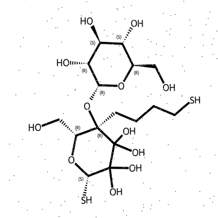 OC[C@H]1O[C@H](O[C@]2(CCCCS)[C@@H](CO)O[C@@H](S)C(O)(O)C2(O)O)[C@H](O)[C@@H](O)[C@@H]1O